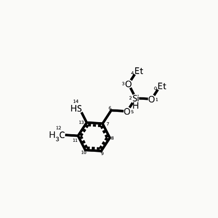 CCO[SiH](OCC)OCc1cccc(C)c1S